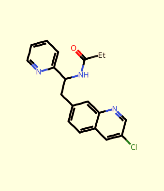 CCC(=O)NC(Cc1ccc2cc(Cl)cnc2c1)c1ccccn1